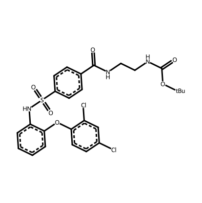 CC(C)(C)OC(=O)NCCNC(=O)c1ccc(S(=O)(=O)Nc2ccccc2Oc2ccc(Cl)cc2Cl)cc1